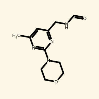 Cc1cc(CNC=O)nc(N2CCOCC2)n1